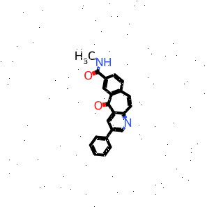 CNC(=O)c1ccc2ccc3ncc(-c4ccccc4)cc3c(=O)c2c1